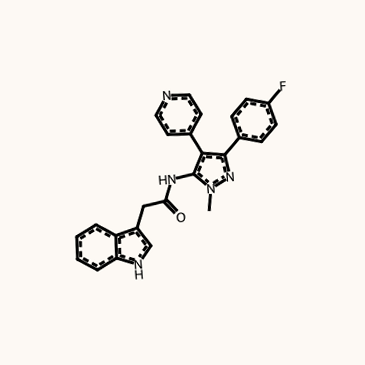 Cn1nc(-c2ccc(F)cc2)c(-c2ccncc2)c1NC(=O)Cc1c[nH]c2ccccc12